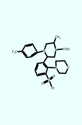 CCS(=O)(=O)c1cccc(C2CN(C=O)C(C)CN2c2ccc(C(F)(F)F)cc2)c1N1CCOCC1